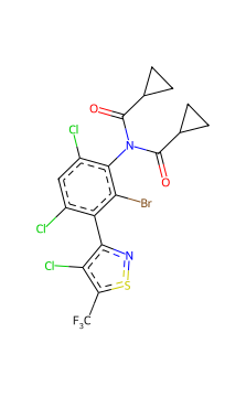 O=C(C1CC1)N(C(=O)C1CC1)c1c(Cl)cc(Cl)c(-c2nsc(C(F)(F)F)c2Cl)c1Br